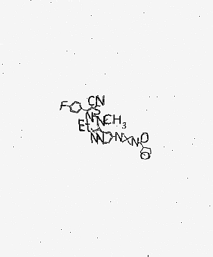 CCc1nn2ccc(N3CC4(CN(C(=O)C5CCOC5)C4)C3)cc2c1N(C)c1nc(-c2ccc(F)cc2)c(C#N)s1